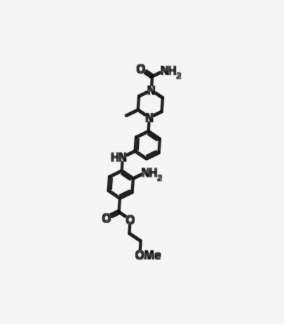 COCCOC(=O)c1ccc(Nc2cccc(N3CCN(C(N)=O)CC3C)c2)c(N)c1